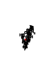 Cn1c(-c2cn(C3CC3(F)F)nc2C(F)(F)F)cnc1C(=O)Nc1ccc(C(=O)NCC2(N)CC2)c(Cl)c1.O=CO